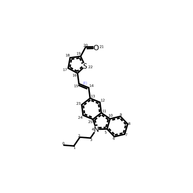 CCCCn1c2ccccc2c2cc(/C=C/c3ccc(C=O)s3)ccc21